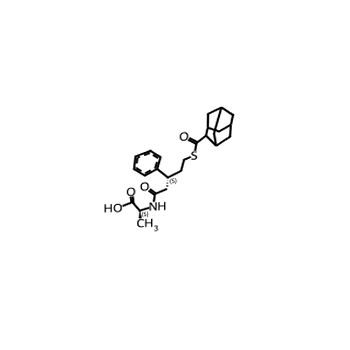 C[C@H](NC(=O)C[C@@H](CCSC(=O)C1C2CC3CC(C2)CC1C3)c1ccccc1)C(=O)O